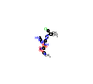 CN1CCC(Oc2ccc(S(=O)(=O)NC(=O)c3ccc(N4CCN(CC5=C(c6ccc(Cl)cc6)CC(C)(C)CC5)CC4)cc3-n3ncc4nc5[nH]ccc5cc43)cc2[N+](=O)[O-])CC1